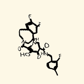 Cc1ccc(CNC(=O)c2cn3c(c(O)c2=O)C(=O)N2CCc4cc(F)c(F)cc4[C@H]3C2)c(F)c1